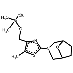 Cc1sc(N2CC3CCC(C2)O3)nc1CO[Si](C)(C)C(C)(C)C